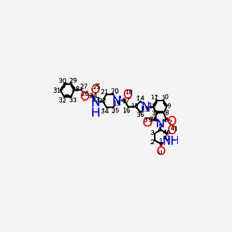 O=C1CCC(N2C(=O)c3cccc(N4CC(CC(=O)N5CCC(NC(=O)OCc6ccccc6)CC5)C4)c3C2=O)C(=O)N1